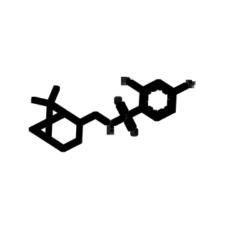 CCc1cc(Br)ccc1S(=O)(=O)NCC1CCC2CC23C1C3(C)C